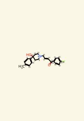 Cc1ccc(C2(O)CCN(CC=CC(=O)c3ccc(F)cc3)CC2)cc1